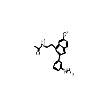 COc1ccc2cc(-c3cccc(N)c3)cc(CCNC(C)=O)c2c1